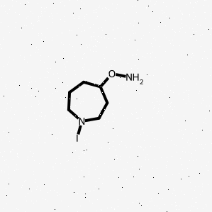 NOC1CCCN(I)CC1